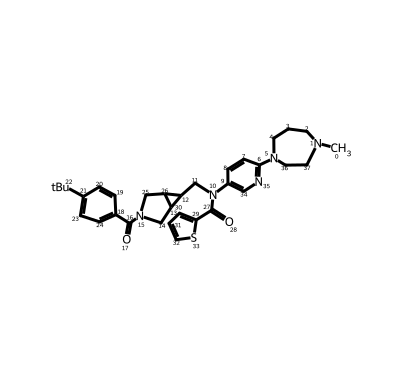 CN1CCCN(c2ccc(N(CC3C4CN(C(=O)c5ccc(C(C)(C)C)cc5)CC43)C(=O)c3cccs3)cn2)CC1